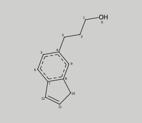 OCCCc1ccc2c(c1)CC=C2